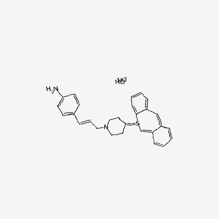 Cl.Cl.Nc1ccc(/C=C/CN2CCC(=S3C=c4ccccc4=Cc4ccccc43)CC2)cc1